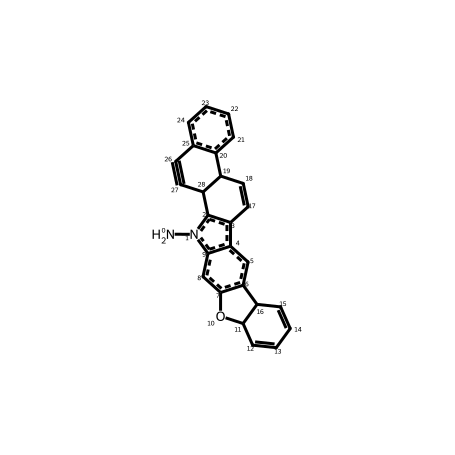 Nn1c2c(c3cc4c(cc31)OC1C=CC=CC41)C=CC1c3ccccc3C#CC21